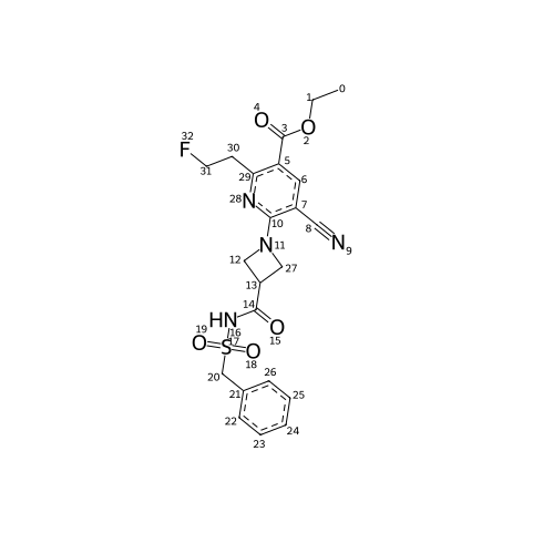 CCOC(=O)c1cc(C#N)c(N2CC(C(=O)NS(=O)(=O)Cc3ccccc3)C2)nc1CCF